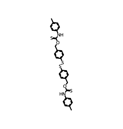 Cc1ccc(NC(=S)OCc2ccc(SSc3ccc(COC(=S)Nc4ccc(C)cc4)cc3)cc2)cc1